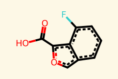 O=C(O)c1occ2cccc(F)c12